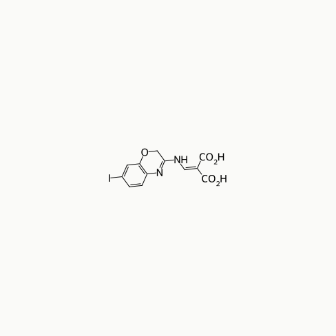 O=C(O)C(=CNC1=Nc2ccc(I)cc2OC1)C(=O)O